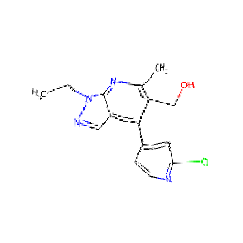 CCn1ncc2c(-c3ccnc(Cl)c3)c(CO)c(C)nc21